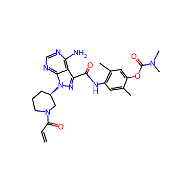 C=CC(=O)N1CCC[C@@H](n2nc(C(=O)Nc3cc(C)c(OC(=O)N(C)C)cc3C)c3c(N)ncnc32)C1